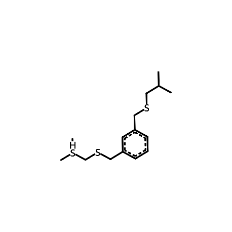 CC(C)CSCc1cccc(CSC[SH](C)C)c1